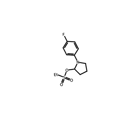 CCS(=O)(=O)OC1CCCN1c1ccc(F)cc1